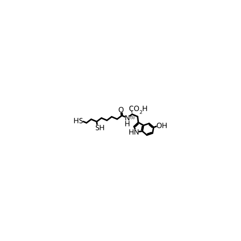 O=C(CCCCC(S)CCS)N[C@@H](Cc1c[nH]c2ccc(O)cc12)C(=O)O